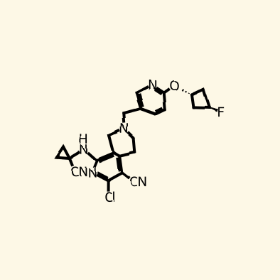 N#Cc1c(Cl)nc(NC2(C#N)CC2)c2c1CCN(Cc1ccc(O[C@H]3C[C@H](F)C3)nc1)C2